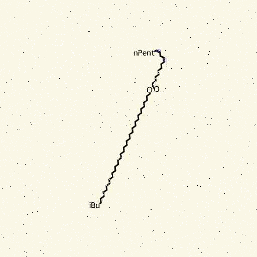 CCCCC/C=C\C/C=C\CCCCCCCC(=O)OCCCCCCCCCCCCCCCCCCCCCCCCCCCCCCCCCCCC(C)CC